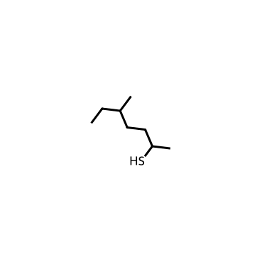 CCC(C)CCC(C)S